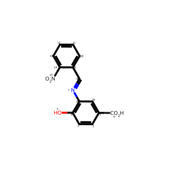 O=C(O)c1ccc(O)c(N=Cc2ccccc2[N+](=O)[O-])c1